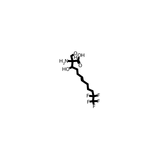 NC(CO)(C(=O)O)C(O)CC/C=C/CCCC(F)(F)C(F)(F)F